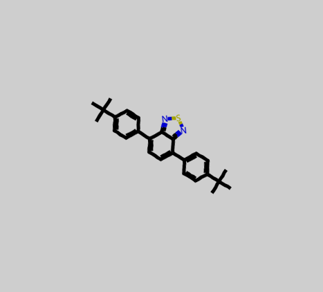 CC(C)(C)c1ccc(-c2ccc(-c3ccc(C(C)(C)C)cc3)c3nsnc23)cc1